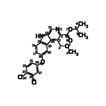 COCc1c(C(=O)OC(C)C)ncc2[nH]c3ccc(Oc4ccc(Cl)c(Cl)c4)cc3c12